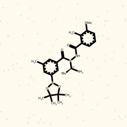 COc1cccc(C(=O)NN(C(=O)c2cc(C)cc(B3OC(C)(C)C(C)(C)O3)c2)[C@@H](N)C(C)(C)C)c1C